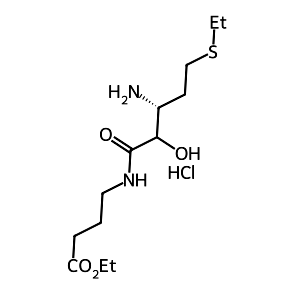 CCOC(=O)CCCNC(=O)C(O)[C@H](N)CCSCC.Cl